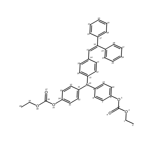 CCOC(=O)Oc1ccc(N(c2ccc(C=C(c3ccccc3)c3ccccc3)cc2)c2ccc(OC(=O)OCC)cc2)cc1